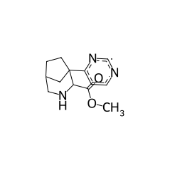 COC(=O)C1NCC2CCC1(c1ccn[c]n1)C2